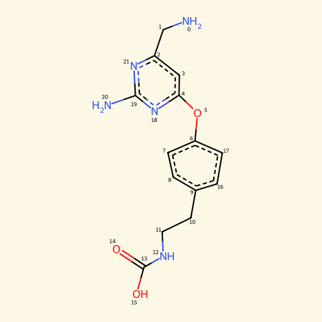 NCc1cc(Oc2ccc(CCNC(=O)O)cc2)nc(N)n1